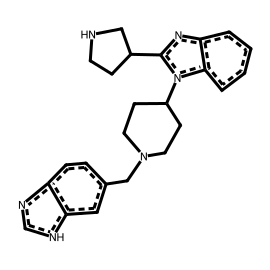 c1ccc2c(c1)nc(C1CCNC1)n2C1CCN(Cc2ccc3nc[nH]c3c2)CC1